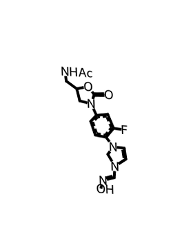 CC(=O)NCC1CN(c2ccc(N3C=CN(C=NO)C3)c(F)c2)C(=O)O1